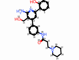 Nc1nc(-c2ccccc2O)cc(-c2cccc(NC(=O)CCN3CCCCC3)c2)c1CO